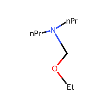 CCCN(CCC)COCC